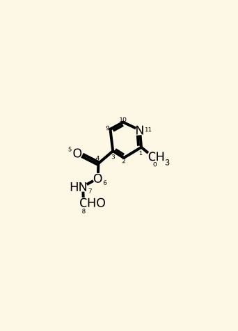 Cc1cc(C(=O)ONC=O)ccn1